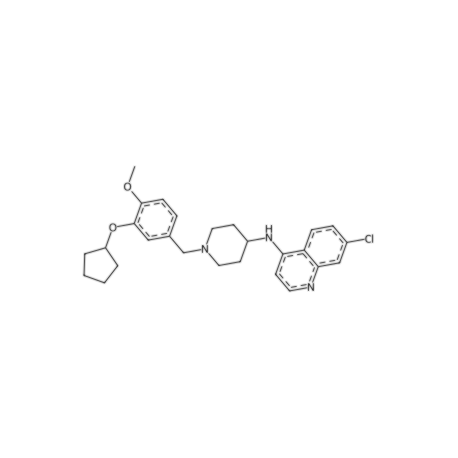 COc1ccc(CN2CCC(Nc3ccnc4cc(Cl)ccc34)CC2)cc1OC1CCCC1